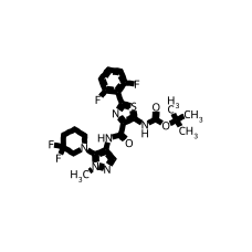 Cn1ncc(NC(=O)c2nc(-c3c(F)cccc3F)sc2NC(=O)OC(C)(C)C)c1N1CCCC(F)(F)C1